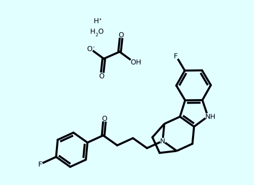 O.O=C(CCCN1C2CCC1c1c([nH]c3ccc(F)cc13)C2)c1ccc(F)cc1.O=C([O-])C(=O)O.[H+]